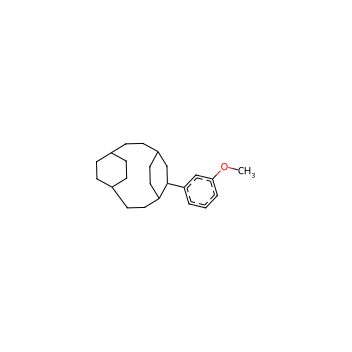 COc1cccc(C2CC3CCC4CCC(CC4)CCC2CC3)c1